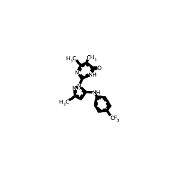 Cc1cc(Nc2ccc(C(F)(F)F)cc2)n(-c2nc(C)c(C)c(=O)[nH]2)n1